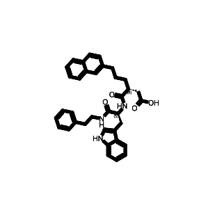 O=C(O)C[C@@H](CCCc1ccc2ccccc2c1)C(=O)N[C@@H](Cc1c[nH]c2ccccc12)C(=O)NCCc1ccccc1